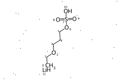 CCOCCCOS(=O)(=O)O.[LiH]